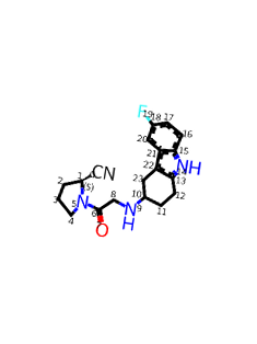 N#C[C@@H]1CCCN1C(=O)CNC1CCc2[nH]c3ccc(F)cc3c2C1